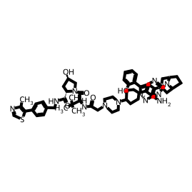 Cc1ncsc1-c1ccc(CNC(=O)[C@@H]2C[C@@H](O)CN2C(=O)C(NC(=O)CN2CCN(C3CCC(c4cnc(N5C6CCC5CN(c5cc(-c7ccccc7O)nnc5N)C6)nc4)CC3)CC2)C(C)(C)C)cc1